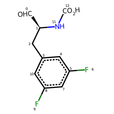 O=C[C@H](Cc1cc(F)cc(F)c1)NC(=O)O